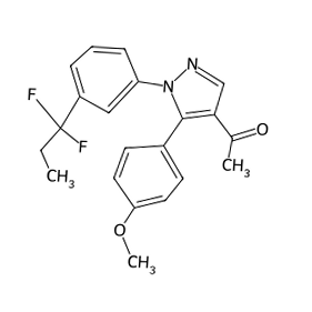 CCC(F)(F)c1cccc(-n2ncc(C(C)=O)c2-c2ccc(OC)cc2)c1